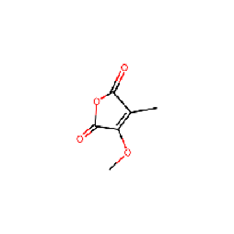 COC1=C(C)C(=O)OC1=O